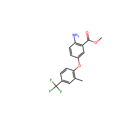 COC(=O)c1cc(Oc2ccc(C(F)(F)F)cc2C)ccc1N